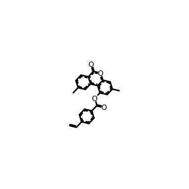 C=Cc1ccc(C(=O)Oc2cc(C)cc3oc(=O)c4ccc(C)cc4c23)cc1